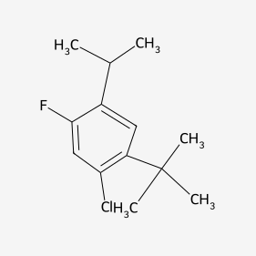 CC(C)c1cc(C(C)(C)C)c(Cl)cc1F